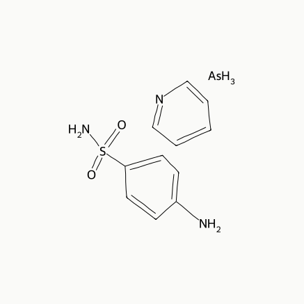 Nc1ccc(S(N)(=O)=O)cc1.[AsH3].c1ccncc1